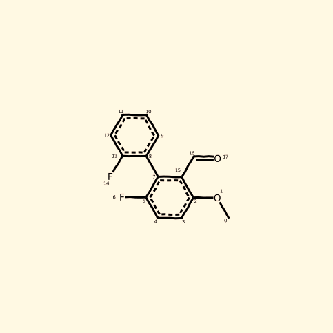 COc1ccc(F)c(-c2ccccc2F)c1C=O